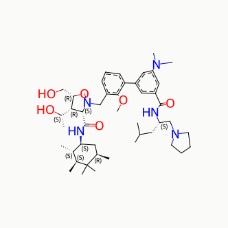 COc1c(CN2O[C@@H](CO)[C@@H]([C@H](C)O)[C@H]2C(=O)N[C@H]2C[C@@H](C)C(C)(C)[C@@H](C)[C@@H]2C)cccc1-c1cc(C(=O)N[C@@H](CC(C)C)CN2CCCC2)cc(N(C)C)c1